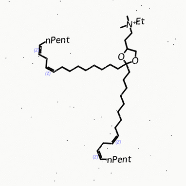 CCCCC/C=C\C/C=C\CCCCCCCCC1(CCCCCCCC/C=C\C/C=C\CCCCC)OCC(CC[N+](C)(C)CC)O1